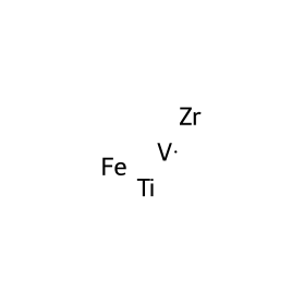 [Fe].[Ti].[V].[Zr]